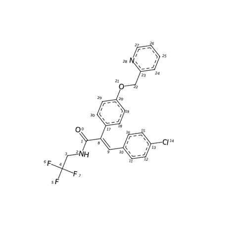 O=C(NCC(F)(F)F)/C(=C/c1ccc(Cl)cc1)c1ccc(OCc2ccccn2)cc1